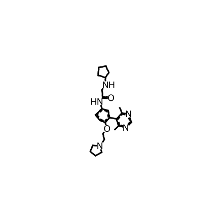 Cc1ncnc(C)c1-c1cc(NC(=O)CNC2CCCC2)ccc1OCCN1CCCC1